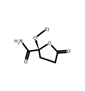 CCO[C@]1(C(N)=O)[CH]CC(=O)O1